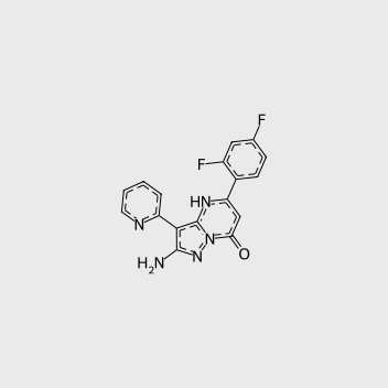 Nc1nn2c(=O)cc(-c3ccc(F)cc3F)[nH]c2c1-c1ccccn1